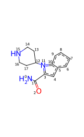 NC(=O)c1cc2ccccc2n1C1CCNCC1